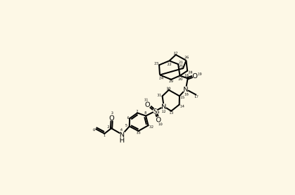 C=CC(=O)Nc1ccc(S(=O)(=O)N2CCC(N(C)C(=O)C34CC5CC(CC(C5)C3)C4)CC2)cc1